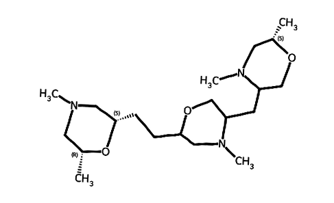 C[C@@H]1CN(C)C[C@H](CCC2CN(C)C(CC3CO[C@@H](C)CN3C)CO2)O1